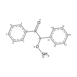 O=C(c1ccccc1)C(O[SiH3])c1ccccc1